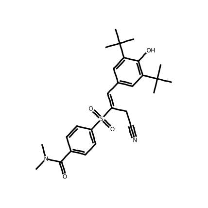 CN(C)C(=O)c1ccc(S(=O)(=O)/C(=C/c2cc(C(C)(C)C)c(O)c(C(C)(C)C)c2)CC#N)cc1